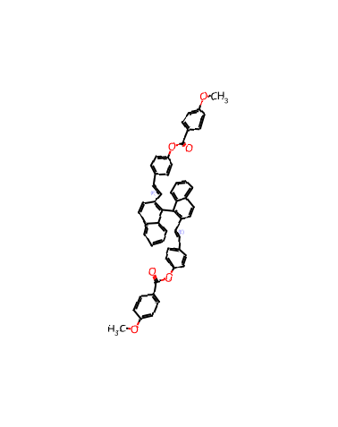 COc1ccc(C(=O)Oc2ccc(/C=C/c3ccc4ccccc4c3-c3c(/C=C/c4ccc(OC(=O)c5ccc(OC)cc5)cc4)ccc4ccccc34)cc2)cc1